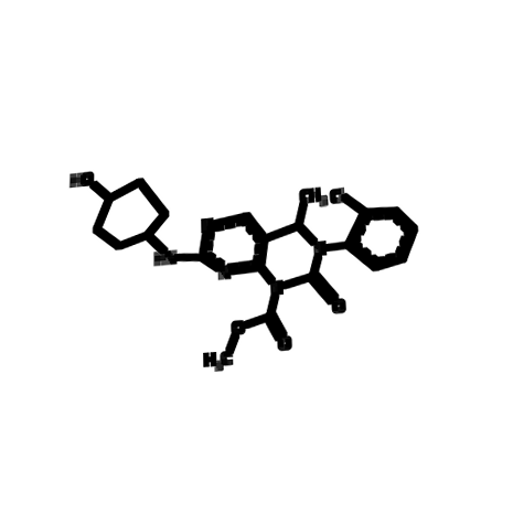 COC(=O)N1C(=O)N(c2ccccc2Cl)C(C)c2cnc(NC3CCC(O)CC3)nc21